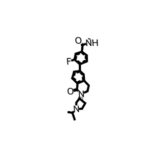 CNC(=O)c1ccc(-c2ccc3c(c2)CCN([C@@H]2CCN(C(C)C)C2)C3=O)c(F)c1